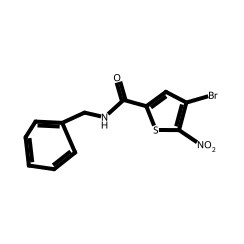 O=C(NCc1ccccc1)c1cc(Br)c([N+](=O)[O-])s1